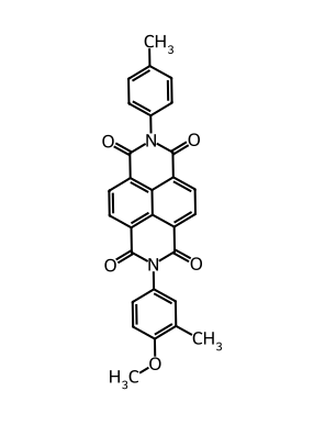 COc1ccc(N2C(=O)c3ccc4c5c(ccc(c35)C2=O)C(=O)N(c2ccc(C)cc2)C4=O)cc1C